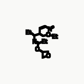 C=N/C=C\C(COCC)C(CC)/N=C(\CC)OC1COC1